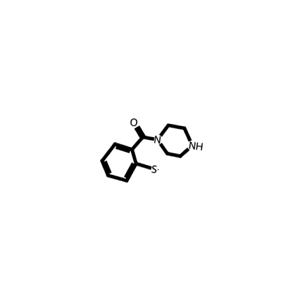 O=C(c1ccccc1[S])N1CCNCC1